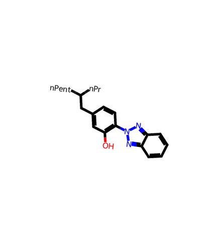 CCCCCC(CCC)Cc1ccc(-n2nc3ccccc3n2)c(O)c1